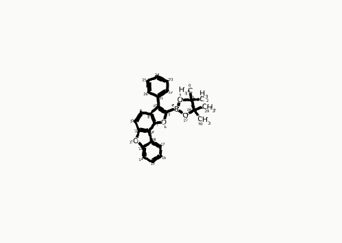 CC1(C)OB(c2oc3c(ccc4oc5ccccc5c43)c2-c2ccccc2)OC1(C)C